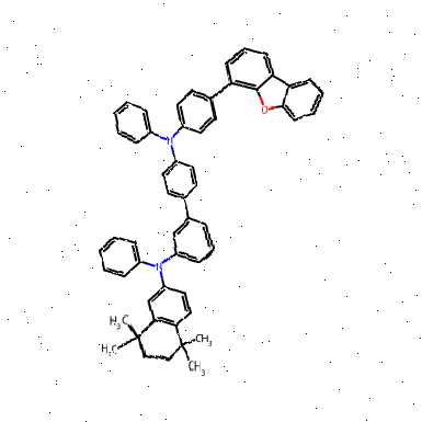 CC1(C)CCC(C)(C)c2cc(N(c3ccccc3)c3cccc(-c4ccc(N(c5ccccc5)c5ccc(-c6cccc7c6oc6ccccc67)cc5)cc4)c3)ccc21